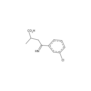 CC(CC(=N)c1cccc(Cl)c1)C(=O)O